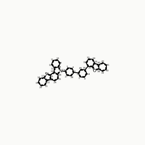 c1cc(-c2ccc(-n3c4ccccc4c4c5sc6ccccc6c5ccc43)cc2)cc(-c2cccc3c2oc2ccccc23)c1